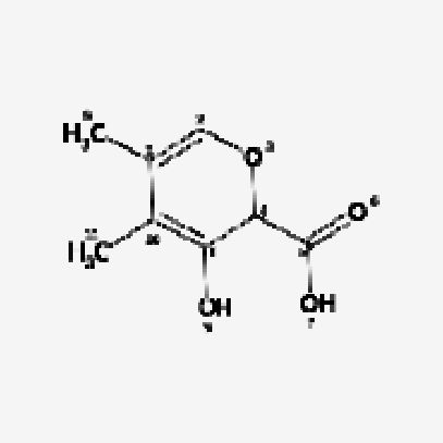 CC1=COC(C(=O)O)C(O)=C1C